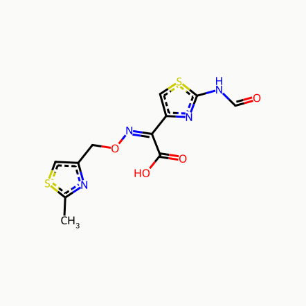 Cc1nc(CON=C(C(=O)O)c2csc(NC=O)n2)cs1